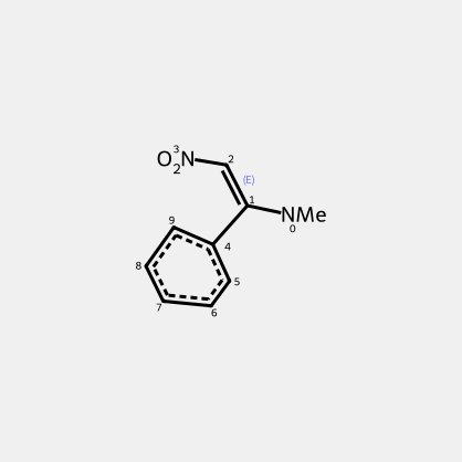 CN/C(=C/[N+](=O)[O-])c1ccccc1